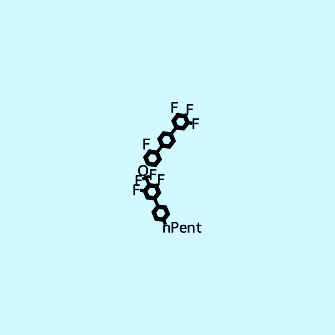 CCCCCc1ccc(-c2cc(F)c(C(F)(F)Oc3ccc(-c4ccc(-c5cc(F)c(F)c(F)c5)cc4)c(F)c3)c(F)c2)cc1